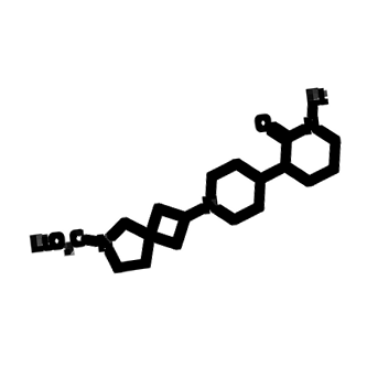 CCOC(=O)N1CCC2(CC(N3CCC(C4CCCN(CC)C4=O)CC3)C2)C1